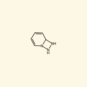 C1=CC2NNN2C=C1